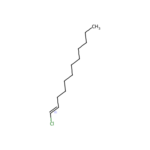 CCCCCCCCCC/C=C/Cl